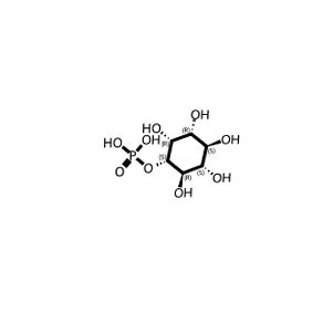 O=P(O)(O)O[C@@H]1[C@H](O)[C@H](O)[C@@H](O)[C@H](O)[C@H]1O